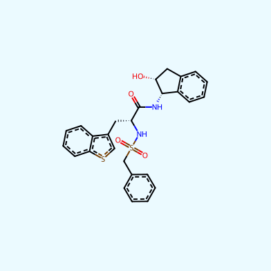 O=C(N[C@H]1c2ccccc2C[C@H]1O)[C@@H](Cc1csc2ccccc12)NS(=O)(=O)Cc1ccccc1